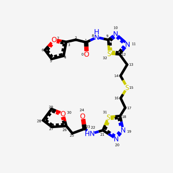 O=C(Cc1ccco1)Nc1nnc(CCSCCc2nnc(NC(=O)Cc3ccco3)s2)s1